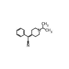 CC(C)N1CCC(=C(C#N)c2ccccc2)CC1